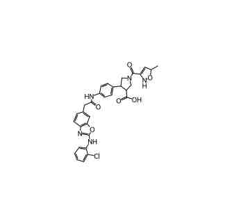 CC1C=C(C(=O)N2CC(C(=O)O)C(c3ccc(NC(=O)Cc4ccc5nc(Nc6ccccc6Cl)oc5c4)cc3)C2)NO1